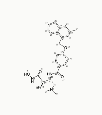 CCC[C@@H](C(=O)NO)[C@@H](CN(C)C)NC(=O)c1ccc(OCc2cc(C)nc3ccccc23)cc1